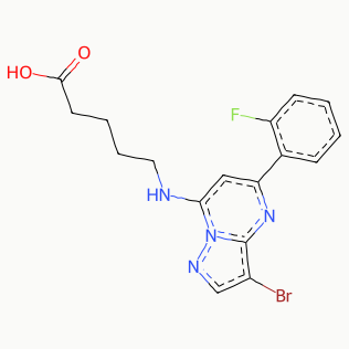 O=C(O)CCCCNc1cc(-c2ccccc2F)nc2c(Br)cnn12